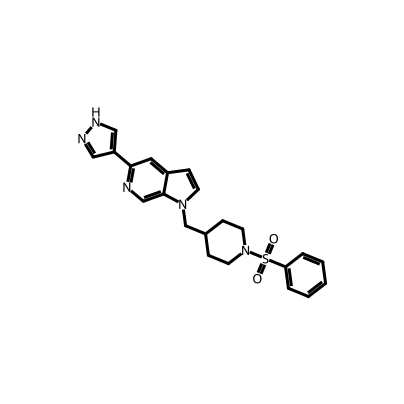 O=S(=O)(c1ccccc1)N1CCC(Cn2ccc3cc(-c4cn[nH]c4)ncc32)CC1